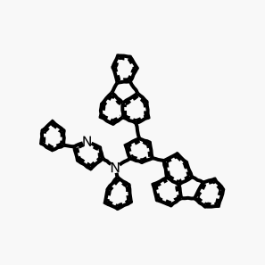 c1ccc(-c2ccc(N(c3ccccc3)c3cc(-c4ccc5c6c(cccc46)-c4ccccc4-5)cc(-c4ccc5c6c(cccc46)-c4ccccc4-5)c3)cn2)cc1